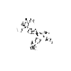 [2H]C([2H])([2H])O[C@H]1CC[C@H](n2c([C@@H](N)CCNC)nc3cc(-c4c(C)noc4C)ccc32)CC1